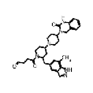 Cc1cc(CC2CC(N3CCC(N4Cc5ccccc5NC4=O)CC3)CCN2C(=O)CCC=O)cc2cn[nH]c12